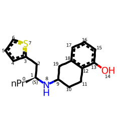 CCC[C@@H](Cc1cccs1)NC1CCc2c(O)cccc2C1